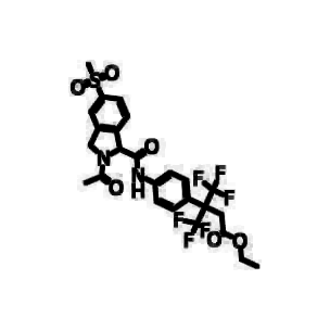 CCOC(=O)CC(c1ccc(NC(=O)C2c3ccc(S(C)(=O)=O)cc3CN2C(C)=O)cc1)(C(F)(F)F)C(F)(F)F